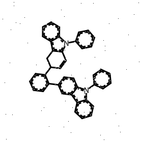 C1=CC(c2ccccc2-c2ccc3c(c2)c2ccccc2n3-c2ccccc2)Cc2c1n(-c1ccccc1)c1ccccc21